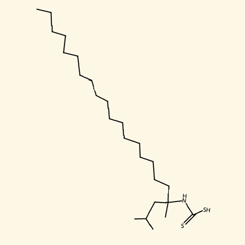 CCCCCCCCCCCCCCCCCCC(C)(CC(C)C)NC(=S)S